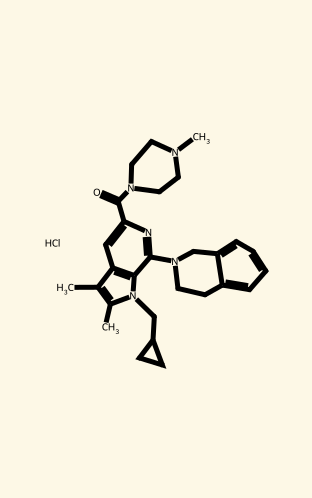 Cc1c(C)n(CC2CC2)c2c(N3CCc4ccccc4C3)nc(C(=O)N3CCN(C)CC3)cc12.Cl